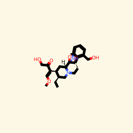 CC[C@@H]1CN2CC[C@@]34OCCO[C@@]3(Nc3cccc(CO)c34)[C@@H]2C[C@@H]1/C(=C\OC)C(=O)CO